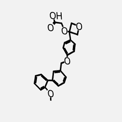 COc1ccccc1-c1cccc(COc2ccc(C3(OCC(=O)O)COC3)cc2)c1